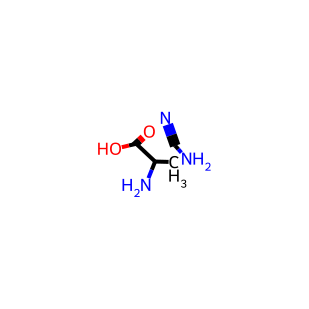 CC(N)C(=O)O.N#CN